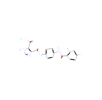 NC(=O)c1[nH]cnc1C(=O)Nc1ccc(NC(=O)c2ccc(F)cc2Cl)cc1